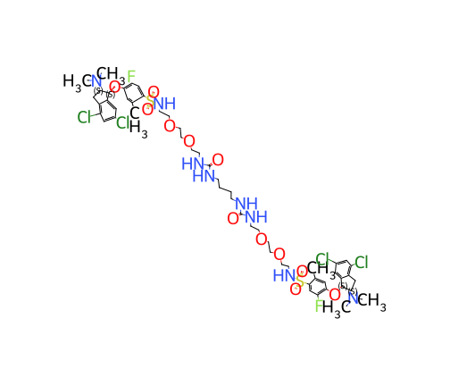 Cc1cc(O[C@H]2c3cc(Cl)cc(Cl)c3C[C@@H]2N(C)C)c(F)cc1S(=O)(=O)NCCOCCOCCNC(=O)NCCCCNC(=O)NCCOCCOCCNS(=O)(=O)c1cc(F)c(O[C@H]2c3cc(Cl)cc(Cl)c3C[C@@H]2N(C)C)cc1C